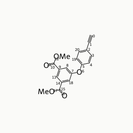 C#Cc1ccc(Oc2cc(C(=O)OC)cc(C(=O)OC)c2)cc1